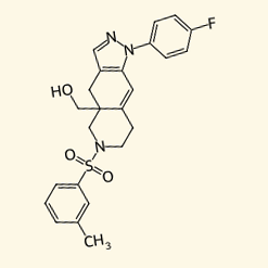 Cc1cccc(S(=O)(=O)N2CCC3=Cc4c(cnn4-c4ccc(F)cc4)CC3(CO)C2)c1